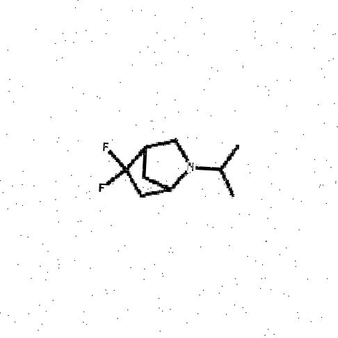 CC(C)N1CC2CC1CC2(F)F